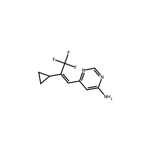 Nc1cc(/C=C(/C2CC2)C(F)(F)F)ncn1